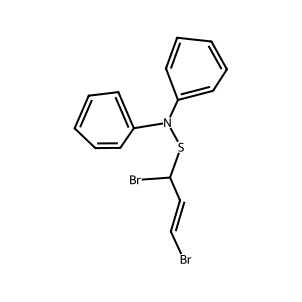 BrC=CC(Br)SN(c1ccccc1)c1ccccc1